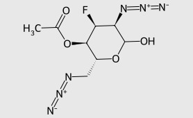 CC(=O)O[C@H]1[C@@H](F)[C@@H](N=[N+]=[N-])C(O)O[C@@H]1CN=[N+]=[N-]